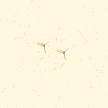 O=C(O)OO.O=C(O)OO